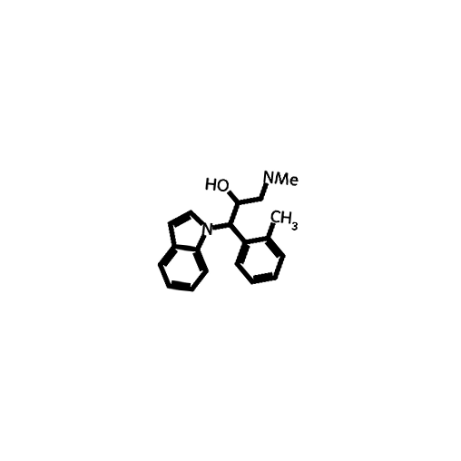 CNCC(O)C(c1ccccc1C)n1ccc2ccccc21